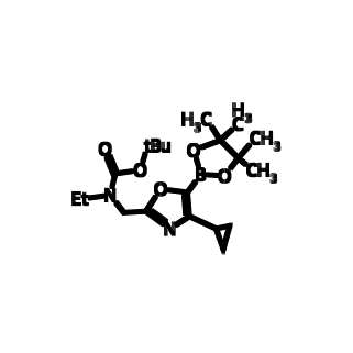 CCN(Cc1nc(C2CC2)c(B2OC(C)(C)C(C)(C)O2)o1)C(=O)OC(C)(C)C